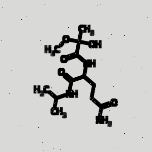 COC(C)(O)C(=O)NC(CCC(N)=O)C(=O)NC(C)C